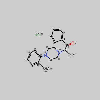 CCCC(C(=O)c1ccccc1)N1CCN(c2ccccc2OC)CC1.Cl